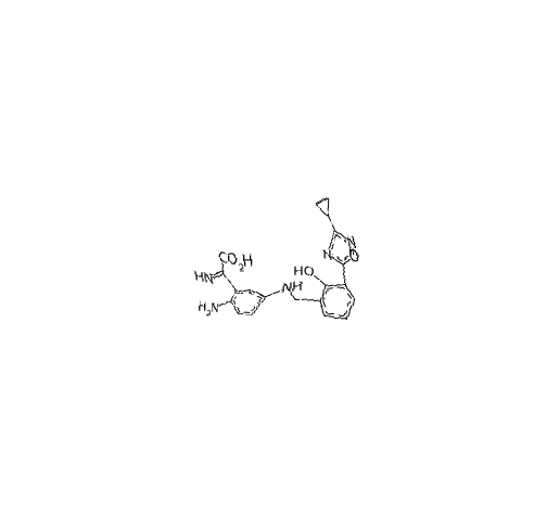 N=C(C(=O)O)c1cc(NCc2cccc(-c3nc(C4CC4)no3)c2O)ccc1N